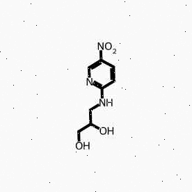 O=[N+]([O-])c1ccc(NCC(O)CO)nc1